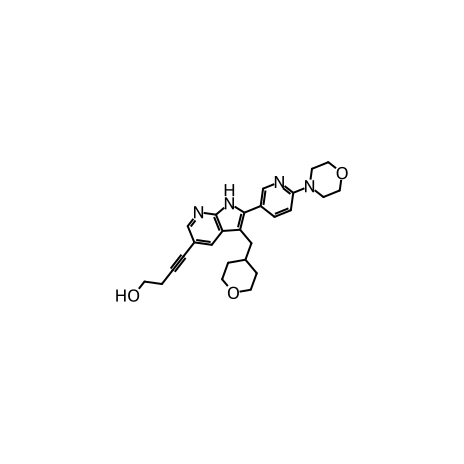 OCCC#Cc1cnc2[nH]c(-c3ccc(N4CCOCC4)nc3)c(CC3CCOCC3)c2c1